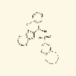 O=S(=O)(N[C@@H](c1nc2cccnc2s1)c1ccccc1Cl)c1ccc2c(c1)OCCCO2